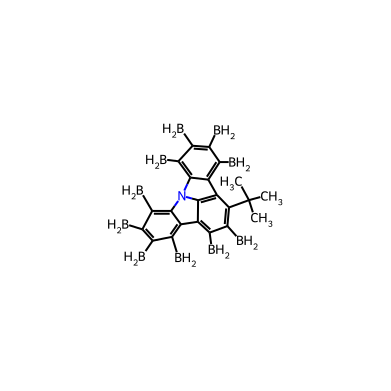 Bc1c(B)c(B)c2c(c1B)c1c(B)c(B)c(C(C)(C)C)c3c4c(B)c(B)c(B)c(B)c4n2c13